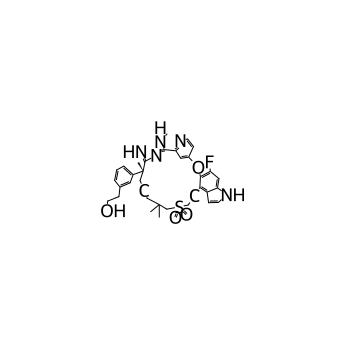 CN/C1=N\C(=N)[C@@](C)(c2cccc(CCO)c2)CCCC(C)(C)CS(=O)(=O)CCc2c(c(F)cc3[nH]ccc23)Oc2ccnc1c2